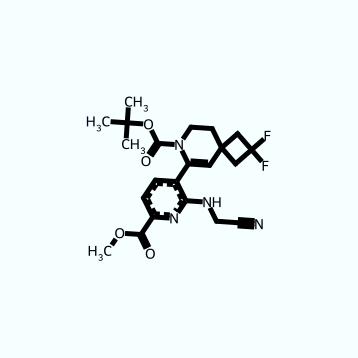 COC(=O)c1ccc(C2=CC3(CCN2C(=O)OC(C)(C)C)CC(F)(F)C3)c(NCC#N)n1